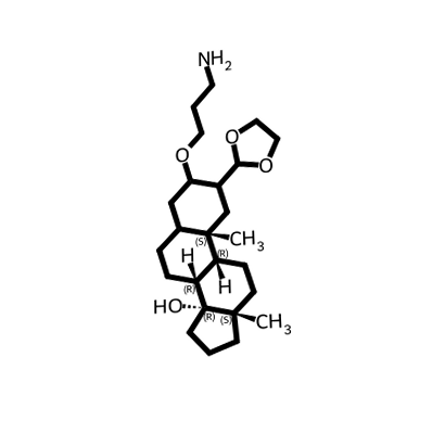 C[C@@]12CCC[C@@]1(O)[C@@H]1CCC3CC(OCCCN)C(C4OCCO4)C[C@]3(C)[C@@H]1CC2